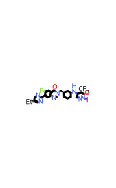 CCc1cnc(-c2cc3ncn(C[C@@H]4CCC[C@H](Nc5cnn(I)c(=O)c5C(F)(F)F)C4)c(=O)c3cc2F)nc1